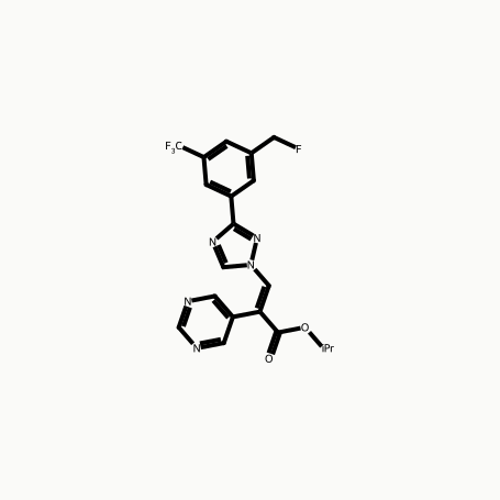 CC(C)OC(=O)C(=Cn1cnc(-c2cc(CF)cc(C(F)(F)F)c2)n1)c1cncnc1